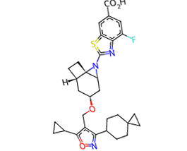 O=C(O)c1cc(F)c2nc(N3C4C[C@@H](OCc5c(C6CCC7(CC6)CC7)noc5C5CC5)C[C@@H]5CC[C@@]453)sc2c1